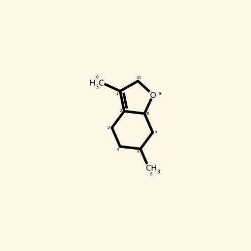 CC1=C2CCC(C)CC2OC1